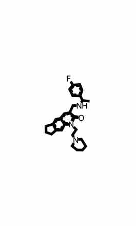 CC(NCc1cc2cc3c(cc2n(CCN2CCCCC2)c1=O)CCC3)c1ccc(F)cc1